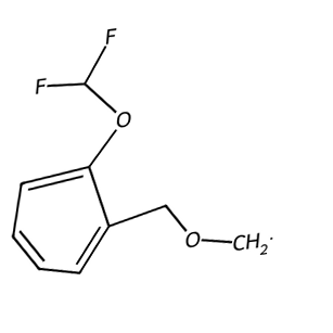 [CH2]OCc1ccccc1OC(F)F